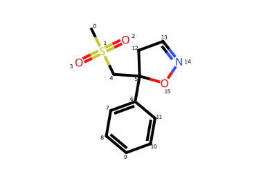 CS(=O)(=O)CC1(c2ccccc2)C[C]=NO1